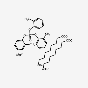 CCCCCCCCCCCCCCCCCC(=O)[O-].CCCCCCCCCCCCCCCCCC(=O)[O-].Cc1ccccc1OP(=O)(Oc1ccccc1C)Oc1ccccc1C.[Mg+2]